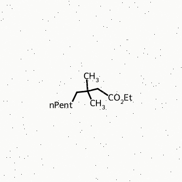 CCCCCCC(C)(C)CC(=O)OCC